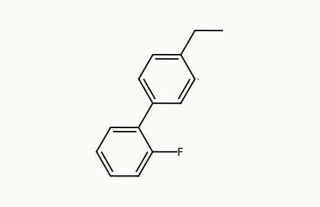 CCc1[c]cc(-c2ccccc2F)cc1